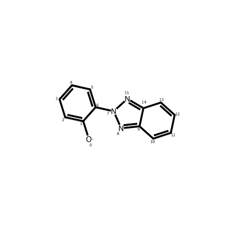 [O]c1ccccc1-n1nc2ccccc2n1